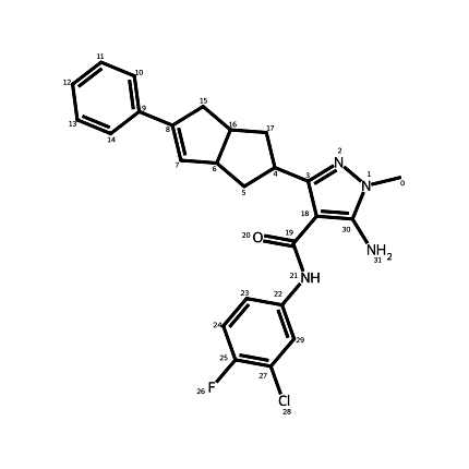 Cn1nc(C2CC3C=C(c4ccccc4)CC3C2)c(C(=O)Nc2ccc(F)c(Cl)c2)c1N